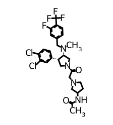 CC(=O)NC1CCN(CC(=O)N2C[C@H](c3ccc(Cl)c(Cl)c3)[C@H](N(C)Cc3ccc(C(F)(F)F)c(F)c3)C2)C1